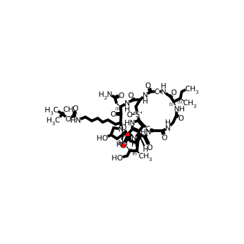 CC[C@H](C)[C@@H]1NC(=O)CNC(=O)C2Cc3c4[nH]c5cc(ccc35)OC(CCCCCCNC(=O)OC(C)(C)C)(C(=O)[C@H](CC(N)=O)NC(=O)C(C[S@@+]4[O-])NC(=O)CNC1=O)N1CC(O)C[C@H]1C(=O)N[C@@H]([C@@H](C)[C@@H](O)CO)C(=O)N2